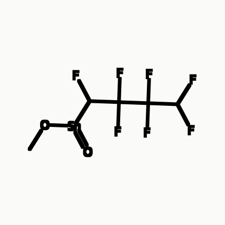 C[O][Sn](=[O])[CH](F)C(F)(F)C(F)(F)C(F)F